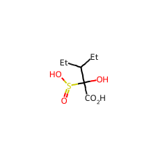 CCC(CC)C(O)(C(=O)O)S(=O)O